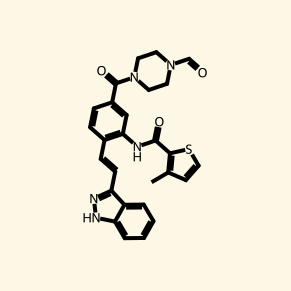 Cc1ccsc1C(=O)Nc1cc(C(=O)N2CCN(C=O)CC2)ccc1/C=C/c1n[nH]c2ccccc12